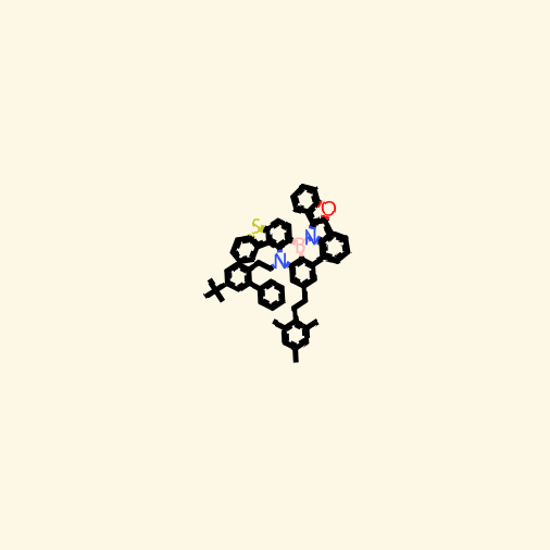 Cc1cc(C)c(CCc2cc3c4c(c2)N(CCc2ccc(C(C)(C)C)cc2-c2ccccc2)c2c(ccc5sc6ccccc6c25)B4n2c4c-3cccc4c3oc4ccccc4c32)c(C)c1